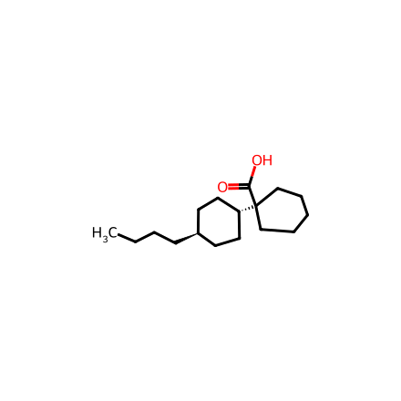 CCCC[C@H]1CC[C@H](C2(C(=O)O)CCCCC2)CC1